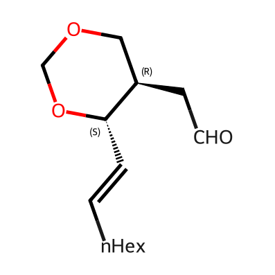 CCCCCCC=C[C@@H]1OCOC[C@H]1CC=O